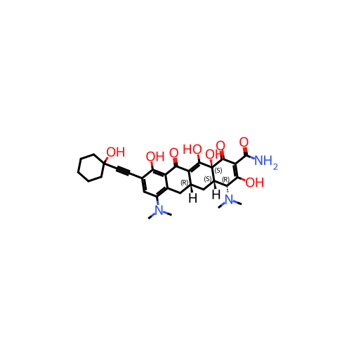 CN(C)c1cc(C#CC2(O)CCCCC2)c(O)c2c1C[C@H]1C[C@H]3[C@@H](N(C)C)C(O)=C(C(N)=O)C(=O)[C@@]3(O)C(O)=C1C2=O